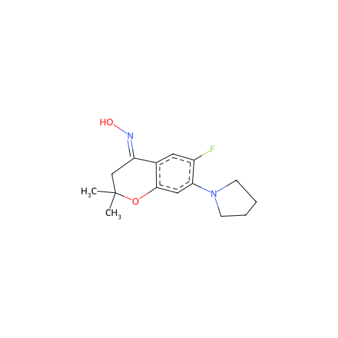 CC1(C)C/C(=N\O)c2cc(F)c(N3CCCC3)cc2O1